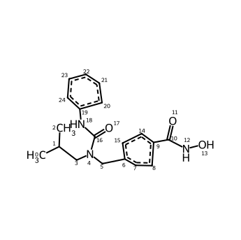 CC(C)CN(Cc1ccc(C(=O)NO)cc1)C(=O)Nc1ccccc1